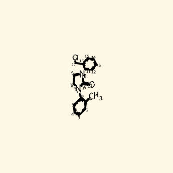 Cc1ccccc1N1CCN(c2ccccc2CCl)C1=O